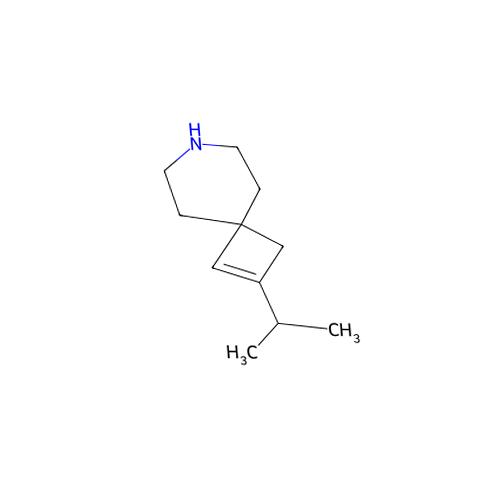 CC(C)C1=CC2(CCNCC2)C1